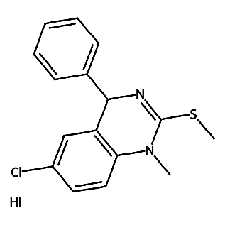 CSC1=NC(c2ccccc2)c2cc(Cl)ccc2N1C.I